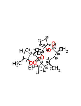 C=CC(=O)C(C)C(=C)C(=O)OC1(CC)CCC(C(=C)CCC(=C)C(=O)OC2(CC)CCCC2)C1